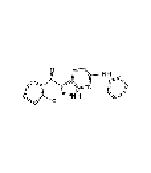 O=C(c1ccccc1F)c1c[nH]c2nc(Nc3ccccc3)ccc12